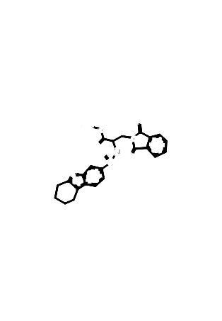 O=C(NO)C(CN1C(=O)c2ccccc2C1=O)NS(=O)(=O)c1ccc2c3c(oc2c1)CCCC3